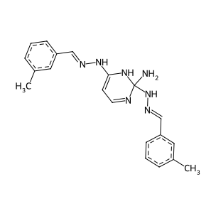 Cc1cccc(C=NNC2=CC=NC(N)(NN=Cc3cccc(C)c3)N2)c1